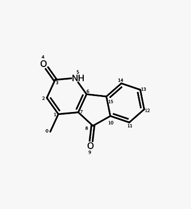 Cc1cc(=O)[nH]c2c1C(=O)c1ccccc1-2